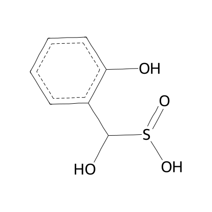 O=S(O)C(O)c1ccccc1O